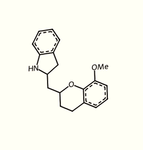 COc1cccc2c1OC(CC1Cc3ccccc3N1)CC2